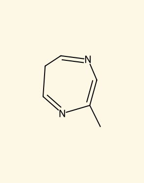 CC1=CN=CCC=N1